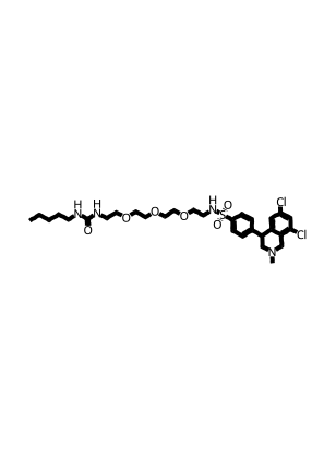 CCCCCNC(=O)NCCOCCOCCOCCNS(=O)(=O)c1ccc(C2CN(C)Cc3c(Cl)cc(Cl)cc32)cc1